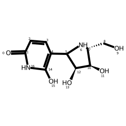 O=c1ccc(C2N[C@H](CO)[C@@H](O)[C@H]2O)c(O)[nH]1